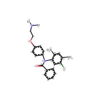 CCN(CC)CCOc1ccc(N(C(=O)c2ccccc2)c2cc(Cl)c([N+](=O)[O-])cc2[N+](=O)[O-])cc1